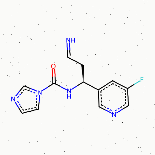 N=CC[C@H](NC(=O)n1ccnc1)c1cncc(F)c1